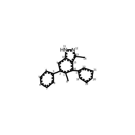 Cc1c(-c2ccccc2)cc2[nH]nc(C)c2c1-c1ccccc1